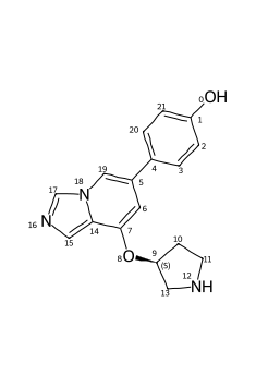 Oc1ccc(-c2cc(O[C@H]3CCNC3)c3cncn3c2)cc1